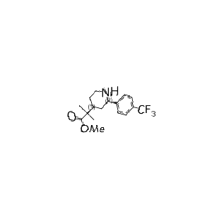 COC(=O)C(C)(C)[C@H]1CCN[C@@H](c2ccc(C(F)(F)F)cc2)C1